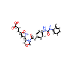 Cc1ccccc1NC(=O)Nc1ccc(CC(=O)N2COCC2c2cc(CCC(=O)O)on2)cc1